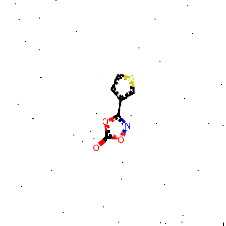 O=c1onc(-c2ccsc2)o1